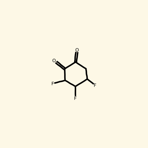 O=C1CC(F)C(F)C(F)C1=O